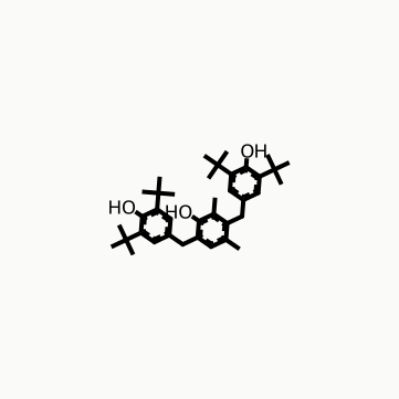 Cc1cc(Cc2cc(C(C)(C)C)c(O)c(C(C)(C)C)c2)c(O)c(C)c1Cc1cc(C(C)(C)C)c(O)c(C(C)(C)C)c1